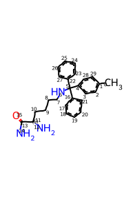 Cc1ccc(C(NCCCC[C@H](N)C(N)=O)(c2ccccc2)c2ccccc2)cc1